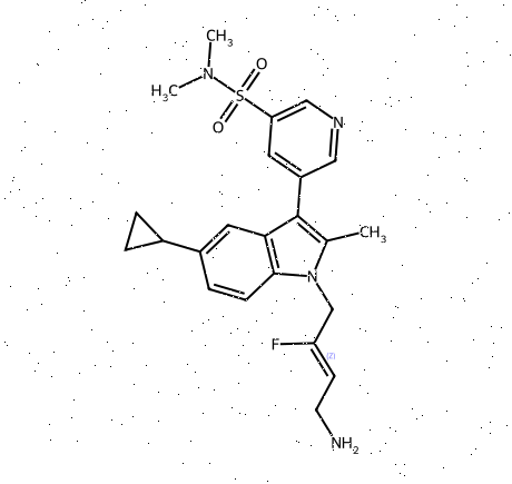 Cc1c(-c2cncc(S(=O)(=O)N(C)C)c2)c2cc(C3CC3)ccc2n1C/C(F)=C/CN